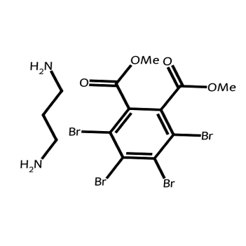 COC(=O)c1c(Br)c(Br)c(Br)c(Br)c1C(=O)OC.NCCCN